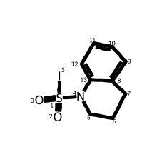 O=S(=O)(I)N1CCCc2ccccc21